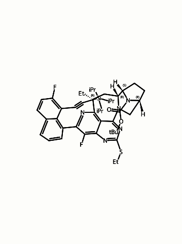 CCSc1nc2c3c(nc(-c4cccc5ccc(F)c(C#C[Si](C(C)C)(C(C)C)C(C)C)c45)c(F)c3n1)[C@H](CC)C[C@@H]1[C@@H]3CC[C@H](CN21)N3C(=O)OC(C)(C)C